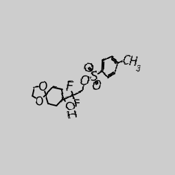 Cc1ccc(S(=O)(=O)OCC(F)(F)C2(O)CCC3(CC2)OCCO3)cc1